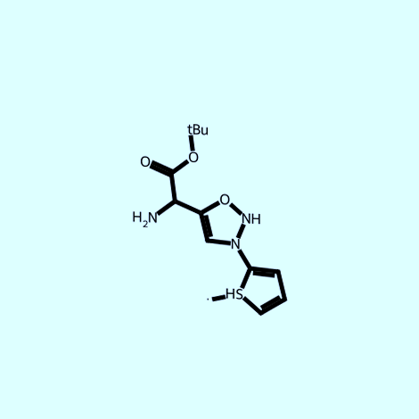 [CH2][SH]1C=CC=C1N1C=C(C(N)C(=O)OC(C)(C)C)ON1